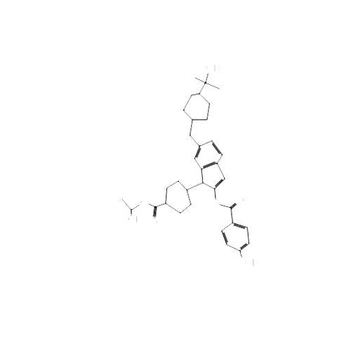 CC(O)OC(=O)C1CCC(C2C(OC(=O)c3ccc(O)cc3)=Cc3ccc(CC4CCC(C(C)(C)O)CC4)cc32)CC1